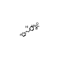 CN1C=CN(CCc2ccc(NS(C)(=O)=O)cc2)C1.I